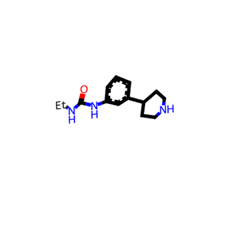 CCNC(=O)Nc1cccc(C2CCNCC2)c1